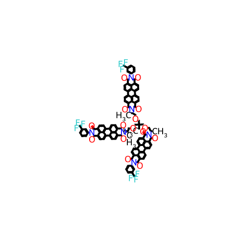 CCC(COCC(C)N1C(=O)c2ccc3c4ccc5c6c(ccc(c7ccc(c2c37)C1=O)c64)C(=O)N(c1cccc(C(F)(F)F)c1)C5=O)(COCC(C)N1C(=O)c2ccc3c4ccc5c6c(ccc(c7ccc(c2c37)C1=O)c64)C(=O)N(c1cccc(C(F)(F)F)c1)C5=O)COCC(C)N1C(=O)c2ccc3c4ccc5c6c(ccc(c7ccc(c2c37)C1=O)c64)C(=O)N(c1cccc(C(F)(F)F)c1)C5=O